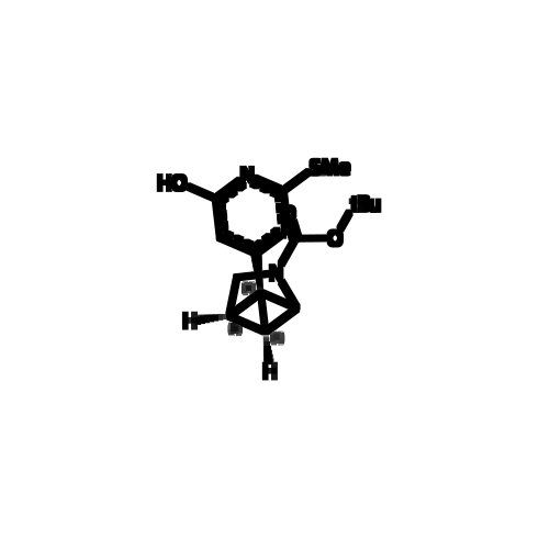 CSc1nc(O)cc([C@@]23C4[C@H]2[C@H]3CN4C(=O)OC(C)(C)C)n1